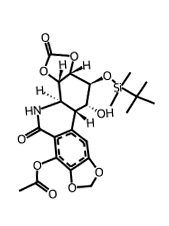 CC(=O)Oc1c2c(cc3c1C(=O)N[C@H]1[C@@H]4OC(=O)O[C@@H]4[C@@H](O[Si](C)(C)C(C)(C)C)[C@H](O)[C@H]31)OCO2